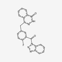 O=C(c1cc(Cc2n[nH]c(=O)c3ccccc23)ccc1F)n1nnc2ccccc21